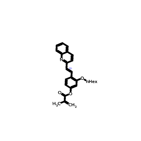 C=C(C)C(=O)Oc1ccc(/C=C/c2ccc3ccccc3n2)c(OCCCCCC)c1